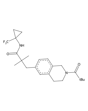 CC(C)(C)C(=O)N1CCc2cc(CC(C)(C)C(=O)NC3(C(F)(F)F)CC3)ccc2C1